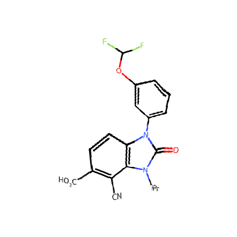 CC(C)n1c(=O)n(-c2cccc(OC(F)F)c2)c2ccc(C(=O)O)c(C#N)c21